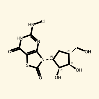 O=c1[nH]c(NCl)nc2c1sc(=O)n2[C@@H]1C[C@H](CO)[C@@H](O)[C@H]1O